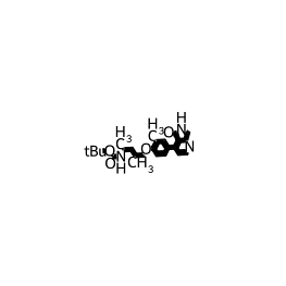 Cc1cc(-c2ccnc3c2C(=O)NC3)ccc1OCC(C)CC(C)NC(=O)OC(C)(C)C